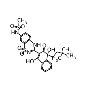 CC(C)(C)CCC1(O)C(=O)C(C2=NS(=O)(=O)c3cc(NS(C)(=O)=O)ccc3N2)=C(O)c2ccccc21